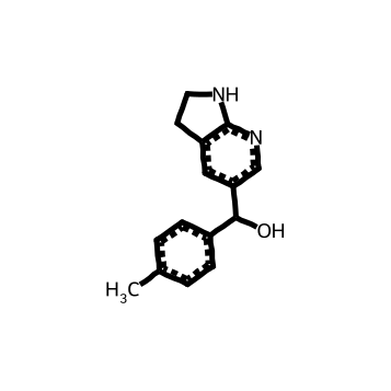 Cc1ccc(C(O)c2cnc3c(c2)CCN3)cc1